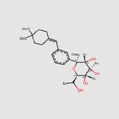 COC1(OC)CCC(=Cc2cccc([C@]3(OC)O[C@H](C(O)C(C)=O)[C@](O)(C(C)=O)[C@@](O)(C(C)=O)[C@]3(O)C(C)=O)c2)CC1